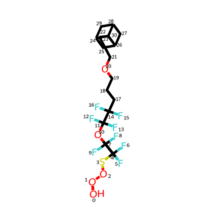 OOOSC(F)(F)C(F)(F)OC(F)(F)C(F)(F)CCCOCC1CC2CC3CC(C2)C13